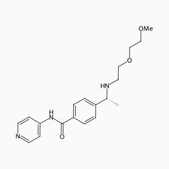 COCCOCCN[C@H](C)c1ccc(C(=O)Nc2ccncc2)cc1